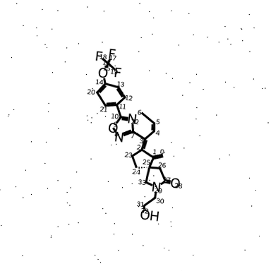 C=C1/C(=C(\C=C/C)c2noc(-c3ccc(OC(F)(F)F)cc3)n2)CC[C@@]12CC(=O)N(CCO)C2